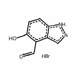 Br.O=Cc1c(O)ccc2[nH]ncc12